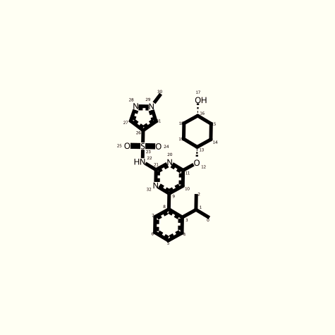 CC(C)c1ccccc1-c1cc(O[C@H]2CC[C@@H](O)CC2)nc(NS(=O)(=O)c2cnn(C)c2)n1